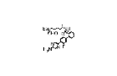 CCN(C=O)CCCCC(C)N[S+]([O-])c1ccccc1-c1ccc(-c2cnc(N)cn2)c(F)c1